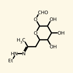 CCN/N=C(\C)CC1OC(OC=O)C(O)C(O)C1O